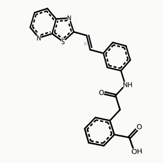 O=C(Cc1ccccc1C(=O)O)Nc1cccc(/C=C/c2nc3cccnc3s2)c1